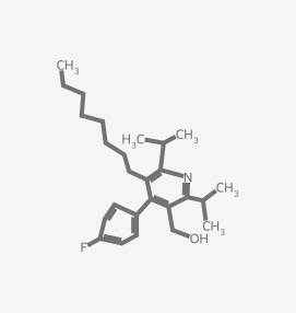 CCCCCCCCc1c(C(C)C)nc(C(C)C)c(CO)c1-c1ccc(F)cc1